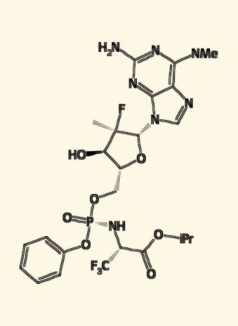 CNc1nc(N)nc2c1ncn2[C@@H]1O[C@H](CO[P@@](=O)(N[C@H](C(=O)OC(C)C)C(F)(F)F)Oc2ccccc2)[C@@H](O)[C@@]1(C)F